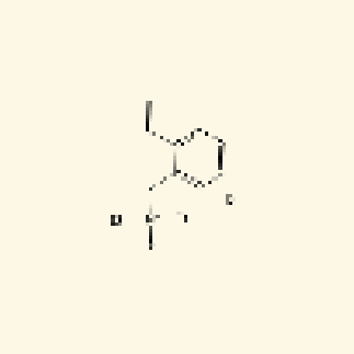 C=Cc1ccccc1C[N+](CC)(CC)CC.[Br-]